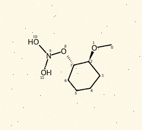 CO[C@H]1CCCC[C@@H]1ON(O)O